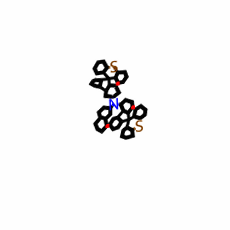 c1ccc2c(c1)Sc1ccccc1C21c2ccccc2-c2cc(N(c3ccc4ccccc4c3)c3cccc4c3-c3ccccc3C43c4ccccc4Sc4ccccc43)ccc21